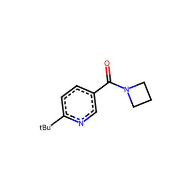 CC(C)(C)c1ccc(C(=O)N2CCC2)cn1